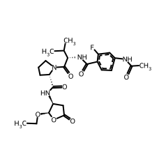 CCO[C@@H]1OC(=O)C[C@@H]1NC(=O)[C@@H]1CCCN1C(=O)[C@@H](NC(=O)c1ccc(NC(C)=O)cc1F)C(C)C